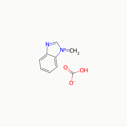 C=[N+]1C=Nc2ccccc21.O=C([O-])O